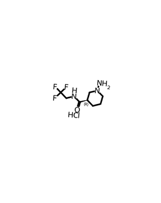 Cl.NN1CCC[C@@H](C(=O)NCC(F)(F)F)C1